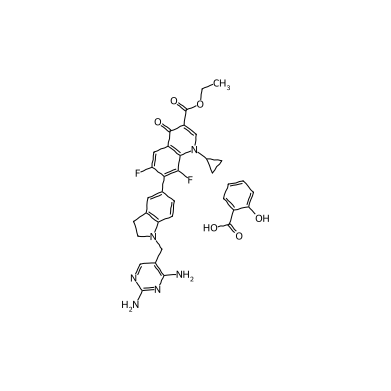 CCOC(=O)c1cn(C2CC2)c2c(F)c(-c3ccc4c(c3)CCN4Cc3cnc(N)nc3N)c(F)cc2c1=O.O=C(O)c1ccccc1O